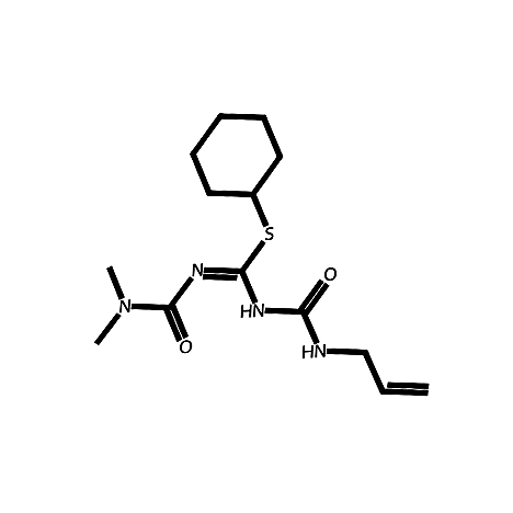 C=CCNC(=O)NC(=NC(=O)N(C)C)SC1CCCCC1